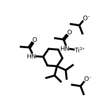 CC(=O)NC1CCCC(C(C)C)(C(C)C)C1.CC(=O)[NH][Ti+2].CC(C)[O-].CC(C)[O-]